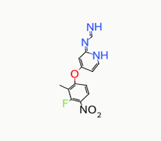 Cc1c(Oc2cc[nH]/c(=N\C=N)c2)ccc([N+](=O)[O-])c1F